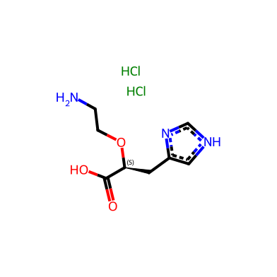 Cl.Cl.NCCO[C@@H](Cc1c[nH]cn1)C(=O)O